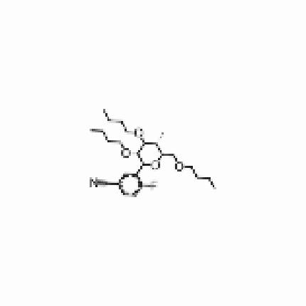 CCCCOC[C@H]1OC(c2cc(C#N)ccc2F)[C@H](OCCCC)[C@@H](OCCCC)[C@@H]1C